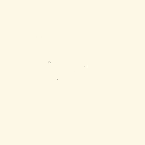 COc1cc(C)ccc1N=CN1CCC(C)C1